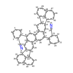 N#Cc1ccccc1-c1cc2c3cc4c(cc3c(-c3ccccc3C#N)cc2c2cc3c(cc12)-c1cccc2cccc-3c12)-c1cccc2cccc-4c12